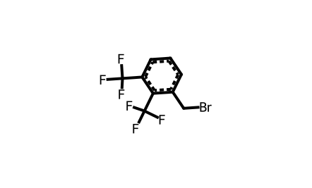 FC(F)(F)c1cccc(CBr)c1C(F)(F)F